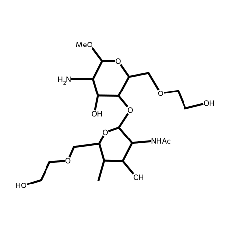 COC1OC(COCCO)C(OC2OC(COCCO)C(C)C(O)C2NC(C)=O)C(O)C1N